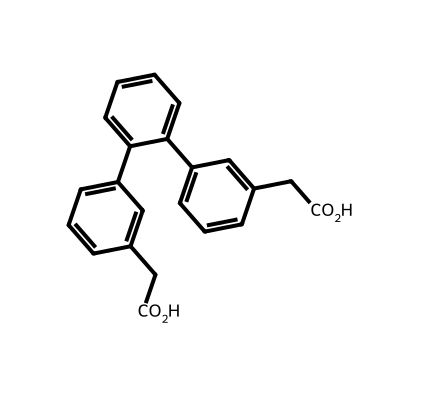 O=C(O)Cc1cccc(-c2ccccc2-c2cccc(CC(=O)O)c2)c1